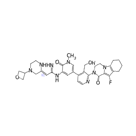 Cn1cc(-c2ccnc(N3CCn4c5c(c(F)c4C3=O)CCCC5)c2CO)cc(NC(=N)/C=C2/CN(C3COC3)CCN2)c1=O